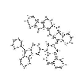 c1ccc(-n2c3ccccc3c3cc(-c4nc(-n5c6ccccc6c6cc7ccc8c9ccccc9sc8c7cc65)nc5c4ccc4ccccc45)ccc32)cc1